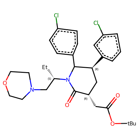 CC[C@@H](CN1CCOCC1)N1C(=O)[C@@H](CC(=O)OC(C)(C)C)C[C@H](c2cccc(Cl)c2)C1c1ccc(Cl)cc1